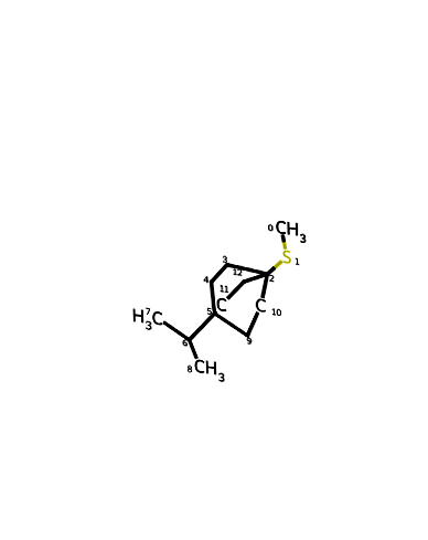 CSC12CCC(C(C)C)(CC1)CC2